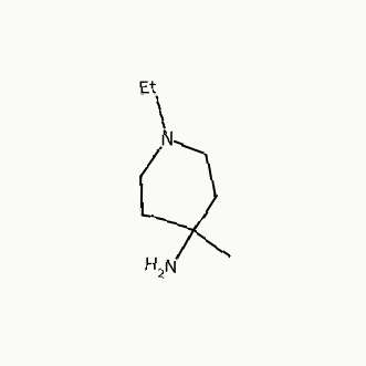 CCN1CCC(C)(N)CC1